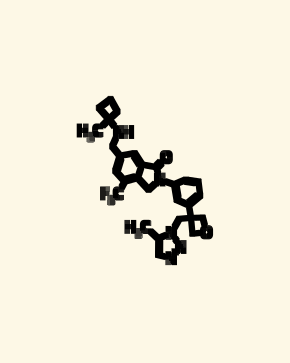 Cc1cnnn1CC1(c2cccc(N3Cc4c(cc(CNC5(C)CCC5)cc4C(F)(F)F)C3=O)c2)COC1